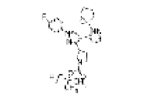 CC(C)(C)OC(=O)N1CCC(c2nn(-c3ccc(F)cc3)cc2-c2ccnn2C2CCCCO2)C1